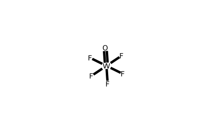 [O]=[W]([F])([F])([F])([F])[F]